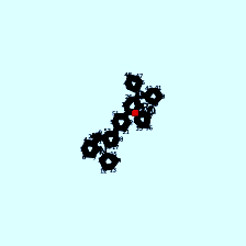 CC1(C)c2ccccc2N(c2ccccc2)c2ccc(-c3ccc(-c4ccc5c(c4)P(=O)(c4ccccc4)c4ccccc4N5c4ccccc4)cc3)cc21